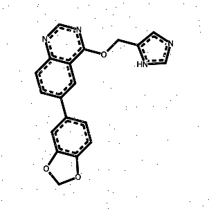 c1nc(OCc2cnc[nH]2)c2cc(-c3ccc4c(c3)OCO4)ccc2n1